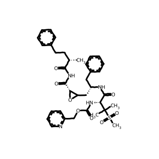 C[C@@H](C[CH]c1ccccc1)C(=O)NC(=O)[C@H]1OC1C[C@H](Cc1ccccc1)NC(=O)[C@@H](NC(=O)OCc1ccccn1)C(C)(C)S(C)(=O)=O